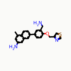 Cc1cc(N)cc2cc(-c3ccc(OCc4cscn4)c(CN)c3)ccc12